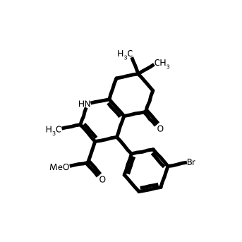 COC(=O)C1=C(C)NC2=C(C(=O)CC(C)(C)C2)C1c1cccc(Br)c1